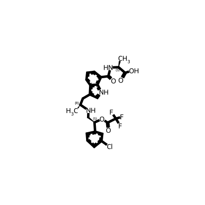 C[C@H](Cc1c[nH]c2c(C(=O)N[C@@H](C)C(=O)O)cccc12)NC[C@@H](OC(=O)C(F)(F)F)c1cccc(Cl)c1